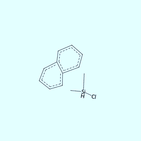 C[SiH](C)Cl.c1ccc2ccccc2c1